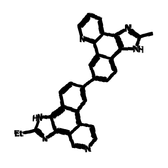 CCc1nc2c3cnccc3c3cc(-c4ccc5c(c4)c4ncccc4c4nc(C)[nH]c54)ccc3c2[nH]1